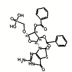 Nc1nc2c(sc(=O)n2[C@@H]2O[C@H](OCP(=O)(O)O)[C@@H](OC(=O)c3ccccc3)[C@H]2OC(=O)c2ccccc2)c(=O)[nH]1